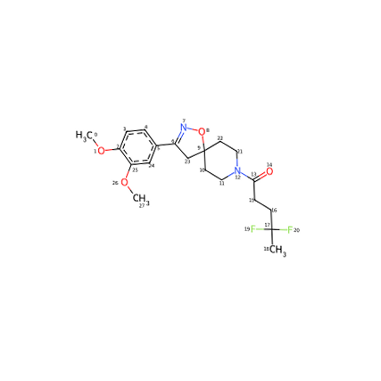 COc1ccc(C2=NOC3(CCN(C(=O)CCC(C)(F)F)CC3)C2)cc1OC